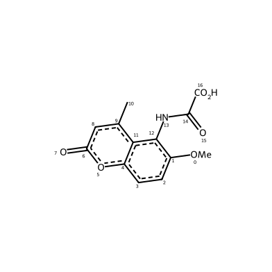 COc1ccc2oc(=O)cc(C)c2c1NC(=O)C(=O)O